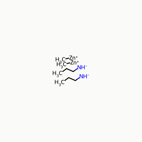 CCC[NH-].CCC[NH-].[CH3][Zn+].[CH3][Zn+]